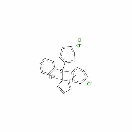 CC1=CC=C[C]1([Ti+3])[Si](c1ccccc1)(c1ccccc1)c1ccccc1.[Cl-].[Cl-].[Cl-]